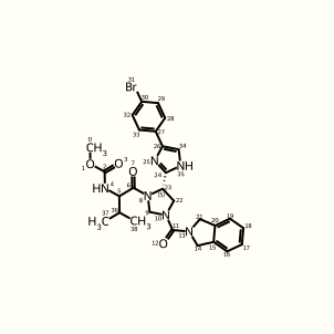 COC(=O)NC(C(=O)N1CN(C(=O)N2Cc3ccccc3C2)C[C@H]1c1nc(-c2ccc(Br)cc2)c[nH]1)C(C)C